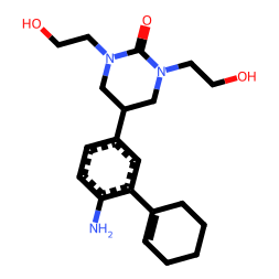 Nc1ccc(C2CN(CCO)C(=O)N(CCO)C2)cc1C1=CCCCC1